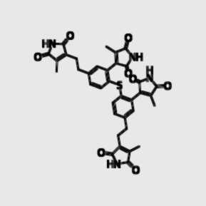 CC1=C(CCc2ccc(Sc3ccc(CCC4=C(C)C(=O)NC4=O)cc3C3=C(C)C(=O)NC3=O)c(C3=C(C)C(=O)NC3=O)c2)C(=O)NC1=O